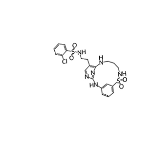 O=S1(=O)NCCCNc2nc(ncc2CCNS(=O)(=O)c2ccccc2Cl)Nc2cccc1c2